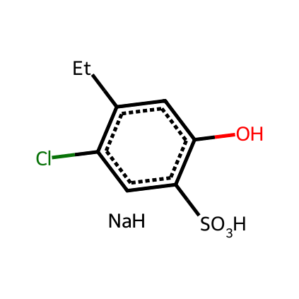 CCc1cc(O)c(S(=O)(=O)O)cc1Cl.[NaH]